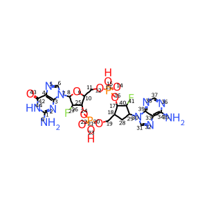 Nc1nc2c(ncn2C2OC3COP(=O)(O)OC4C(COP(=O)(O)OC3C2F)CC(n2cnc3c(N)ncnc32)C4F)c(=O)[nH]1